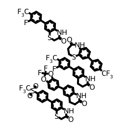 O=C1CCSc2cc(-c3ccc(C(F)(F)F)cc3)ccc2N1.O=C1CCc2cc(-c3ccc(C(F)(F)F)c(F)c3)ccc2N1.O=C1CCc2cc(-c3ccc4c(c3)OC(F)(F)O4)ccc2N1.O=C1CSc2cc(-c3ccc(C(F)(F)F)c(F)c3)ccc2N1.O=C1CSc2cc(-c3ccc(S(=O)(=O)C(F)(F)F)cc3)ccc2N1